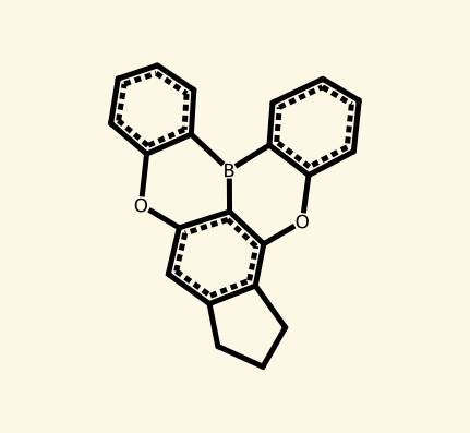 c1ccc2c(c1)Oc1cc3c(c4c1B2c1ccccc1O4)CCC3